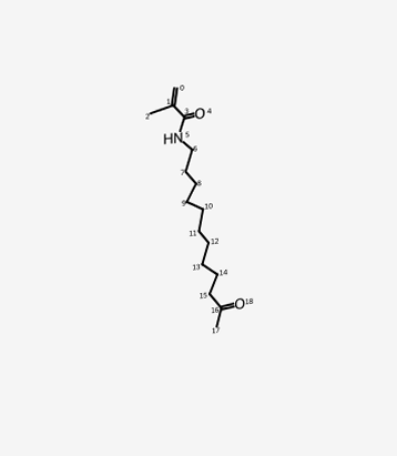 C=C(C)C(=O)NCCCCCCCCCCC(C)=O